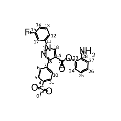 CS(=O)(=O)c1ccc(-c2nn(-c3cccc(F)c3)cc2C(=O)Oc2ccccc2N)cc1